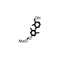 COCOc1cc(C)c(-c2cccc(CO)c2C)c(C)c1